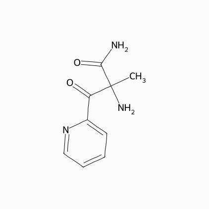 CC(N)(C(N)=O)C(=O)c1ccccn1